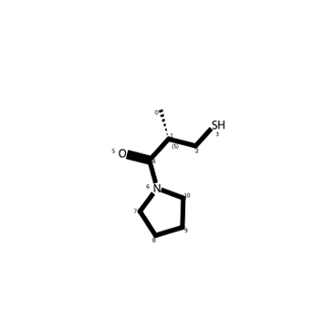 C[C@H](CS)C(=O)N1CCCC1